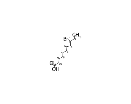 CCC(Br)CCCCCCCC(=O)O